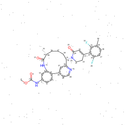 COC(=O)Nc1ccc2c(c1)NC(=O)[C@H](C)CCC[C@H](N1CCC(c3c(F)ccc(C)c3F)=CC1=O)c1cc-2ccn1